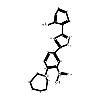 COc1ccccc1-c1noc(-c2ccc(N3CCCCCC3)c([N+](=O)O)c2)n1